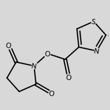 O=C(ON1C(=O)CCC1=O)c1cs[c]n1